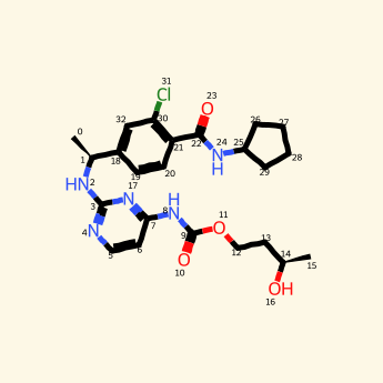 C[C@H](Nc1nccc(NC(=O)OCC[C@@H](C)O)n1)c1ccc(C(=O)NC2CCCC2)c(Cl)c1